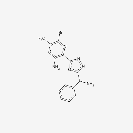 Nc1cc(C(F)(F)F)c(Br)nc1-c1nnc(C(N)c2ccccc2)o1